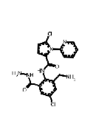 NCc1cc(Cl)cc(C(=O)NN)c1NC(=O)c1ccc(Cl)n1-c1ccccn1